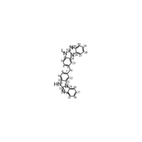 Cn1c2ccc(Cc3ccc4[nH]c5nc6ccccc6n5c4c3)cc2n2c3ccccc3nc12